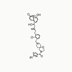 CC(C)c1nc(C(=O)N2CCOC3(CCN(Cc4cccc(CCNC[C@H](O)c5ccc(O)c6[nH]c(=O)ccc56)c4Cl)CC3)C2)cs1